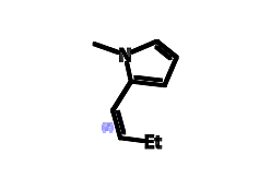 CC/C=C\c1cccn1C